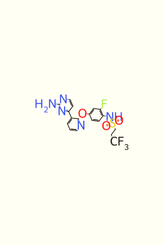 Nc1nccc(-c2cccnc2Oc2ccc(NS(=O)(=O)CCC(F)(F)F)c(F)c2)n1